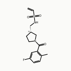 C=CS(=O)(=O)NC[C@H]1CCN(C(=O)c2cc(F)ccc2C)C1